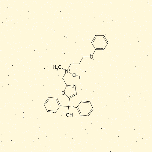 C[N+](C)(CCCOc1ccccc1)Cc1ncc(C(O)(c2ccccc2)c2ccccc2)o1